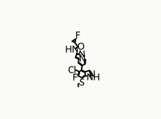 CCSc1c(F)c(Cl)c(-c2ccn3nc(NC(=O)C4CC4F)cc3c2)c2cn[nH]c12